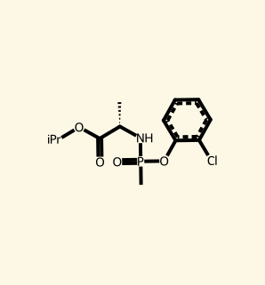 CC(C)OC(=O)[C@H](C)NP(C)(=O)Oc1ccccc1Cl